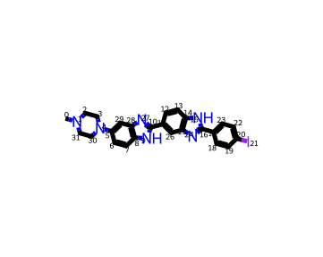 CN1CCN(c2ccc3[nH]c(-c4ccc5[nH]c(-c6ccc(I)cc6)nc5c4)nc3c2)CC1